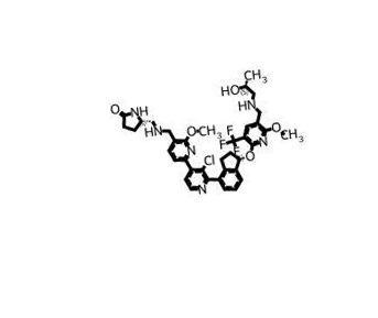 COc1nc(-c2ccnc(-c3cccc4c3CC[C@@H]4Oc3nc(OC)c(CNC[C@H](C)O)cc3C(F)(F)F)c2Cl)ccc1CNC[C@@H]1CCC(=O)N1